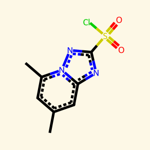 Cc1cc(C)n2nc(S(=O)(=O)Cl)nc2c1